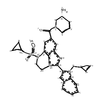 N[C@@H]1CCCN(C(=O)c2cc3c4c(c2)nc(-c2cc5ccccc5n2CC2CC2)n4CCN3S(=O)(=O)C2CC2)C1